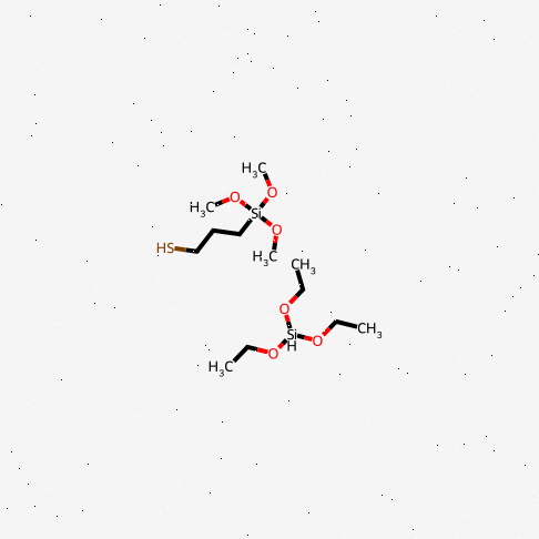 CCO[SiH](OCC)OCC.CO[Si](CCCS)(OC)OC